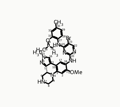 COc1cc(N2CCNCC2)c(-c2cnn(C)c2)cc1Nc1ncc(Br)c(Nc2ccc(C)cc2OP(C)C)n1